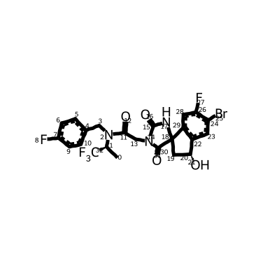 C[C@H](N(Cc1ccc(F)cc1)C(=O)CN1C(=O)NC2(C[C@@H](O)c3cc(Br)c(F)cc32)C1=O)C(F)(F)F